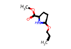 C=CCOC1CCC(C(=O)OC)N1